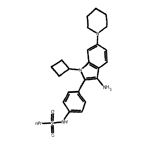 CCCS(=O)(=O)Nc1ccc(-c2c(N)c3ccc(N4CCCCC4)cc3n2C2CCC2)cc1